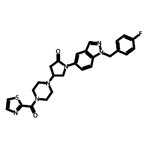 O=C(c1nccs1)N1CCN(C2CC(=O)N(c3ccc4c(cnn4Cc4ccc(F)cc4)c3)C2)CC1